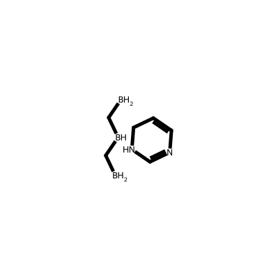 BCBCB.C1=CN=CNC1